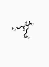 CC(=O)[C@H](CCCCN)NC(=O)CCN